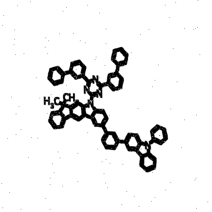 CC1(C)c2ccccc2-c2cc3c4cc(-c5cccc(-c6ccc7c(c6)c6ccccc6n7-c6ccccc6)c5)ccc4n(-c4nc(-c5cccc(-c6ccccc6)c5)nc(-c5cccc(-c6ccccc6)c5)n4)c3cc21